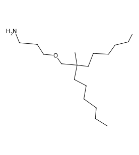 CCCCCCC(C)(CCCCCC)COCCCN